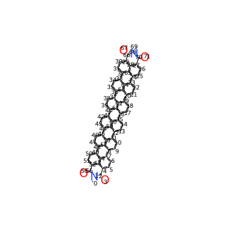 CN1C(=O)c2ccc3c4ccc5c6ccc7c8ccc9c%10ccc%11c%12ccc%13c%14c(ccc(c%15ccc(c%16ccc(c%17ccc(c%18ccc(c%19ccc(c2c3%19)C1=O)c4c5%18)c6c7%17)c8c9%16)c%10c%11%15)c%14%12)C(=O)N(C)C%13=O